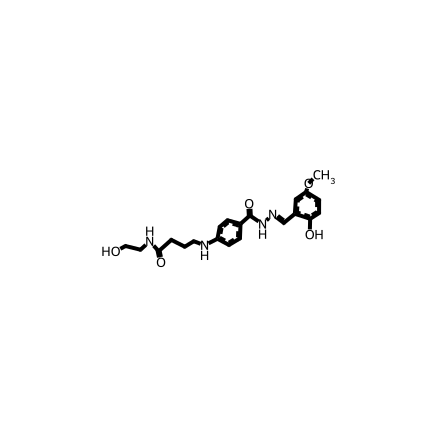 COc1ccc(O)c(C=NNC(=O)c2ccc(NCCCC(=O)NCCO)cc2)c1